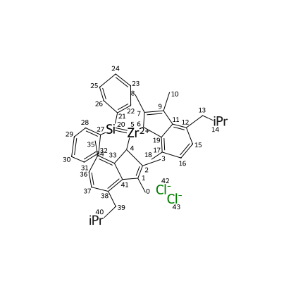 CC1=C(C)[CH]([Zr+2]([CH]2C(C)=C(C)c3c(CC(C)C)ccc(C)c32)=[Si](c2ccccc2)c2ccccc2)c2c(C)ccc(CC(C)C)c21.[Cl-].[Cl-]